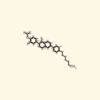 CCCCCCCc1ccc(-c2ccc3c(F)c(-c4ccc(OC(F)F)c(F)c4)ccc3c2)cc1